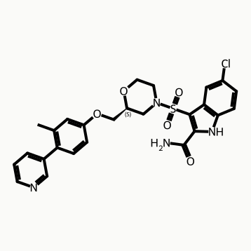 Cc1cc(OC[C@@H]2CN(S(=O)(=O)c3c(C(N)=O)[nH]c4ccc(Cl)cc34)CCO2)ccc1-c1cccnc1